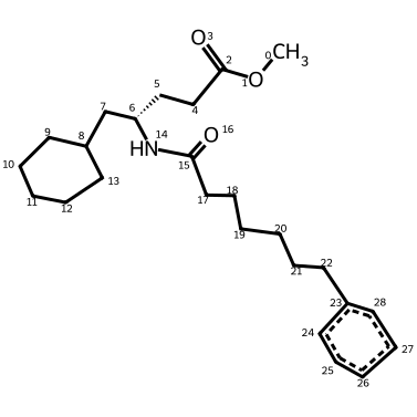 COC(=O)CC[C@@H](CC1CCCCC1)NC(=O)CCCCCCc1ccccc1